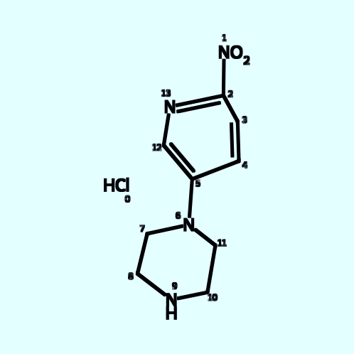 Cl.O=[N+]([O-])c1ccc(N2CCNCC2)cn1